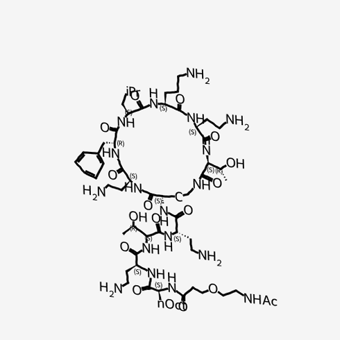 CCCCCCCC[C@H](NC(=O)CCOCCNC(C)=O)C(=O)N[C@@H](CCN)C(=O)N[C@H](C(=O)N[C@@H](CCN)C(=O)N[C@H]1CCNC(=O)[C@H]([C@@H](C)O)NC(=O)[C@H](CCN)NC(=O)[C@H](CCCN)NC(=O)[C@H](CC(C)C)NC(=O)[C@@H](Cc2ccccc2)NC(=O)[C@H](CCN)NC1=O)[C@@H](C)O